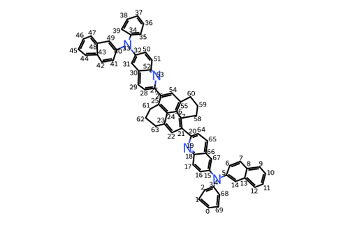 c1ccc(N(c2ccc3ccccc3c2)c2ccc3nc(-c4cc5c6c(c(-c7ccc8cc(N(c9ccccc9)c9ccc%10ccccc%10c9)ccc8n7)cc7c6c4CCC7)CCC5)ccc3c2)cc1